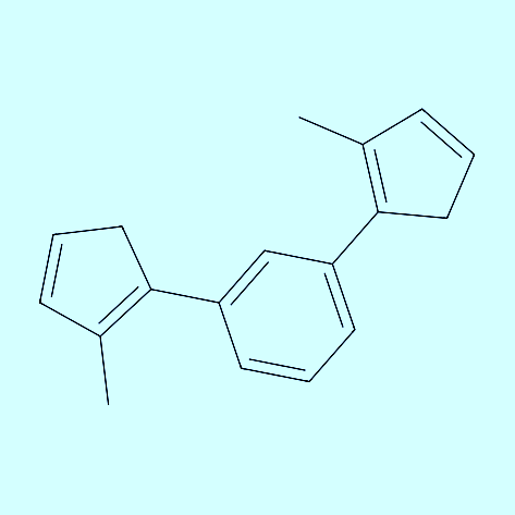 CC1=C(c2cccc(C3=C(C)C=CC3)c2)CC=C1